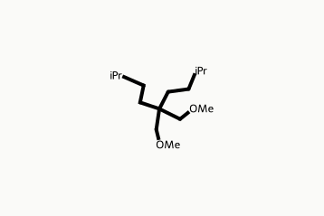 COCC(CCC(C)C)(CCC(C)C)COC